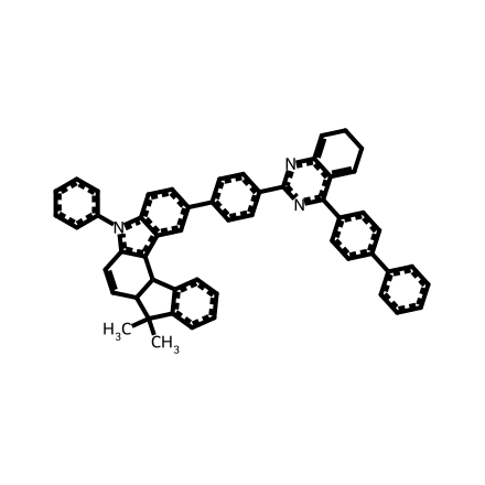 CC1(C)c2ccccc2C2c3c(n(-c4ccccc4)c4ccc(-c5ccc(-c6nc(-c7ccc(-c8ccccc8)cc7)c7c(n6)=CCCC=7)cc5)cc34)C=CC21